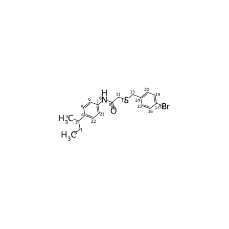 CCC(C)c1ccc(NC(=O)CSCc2ccc(Br)cc2)cc1